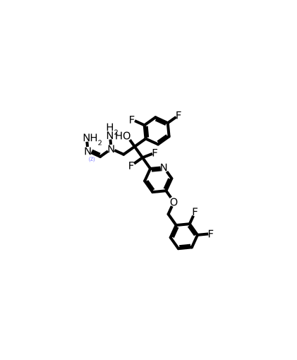 N/N=C\N(N)CC(O)(c1ccc(F)cc1F)C(F)(F)c1ccc(OCc2cccc(F)c2F)cn1